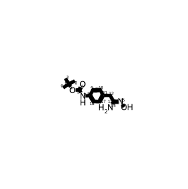 CC(C)(C)OC(=O)Nc1ccc(C/C(N)=N/O)cc1